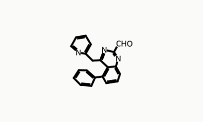 O=Cc1nc(Cc2ccccn2)c2c(-c3ccccc3)cccc2n1